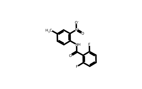 Cc1ccc(NC(=O)c2c(F)cccc2F)c([N+](=O)[O-])c1